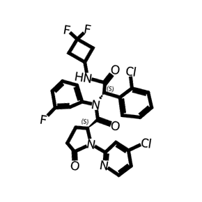 O=C(NC1CC(F)(F)C1)[C@H](c1ccccc1Cl)N(C(=O)[C@@H]1CCC(=O)N1c1cc(Cl)ccn1)c1cccc(F)c1